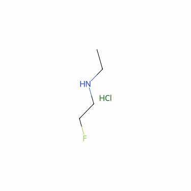 CCNCCF.Cl